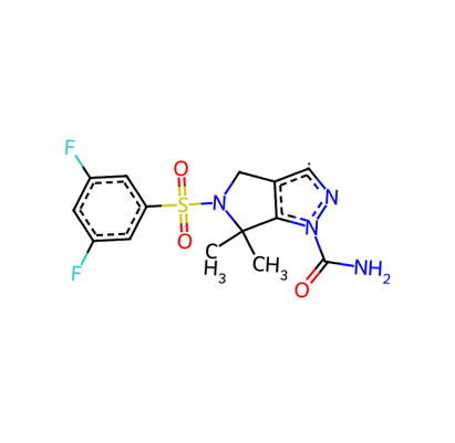 CC1(C)c2c([c]nn2C(N)=O)CN1S(=O)(=O)c1cc(F)cc(F)c1